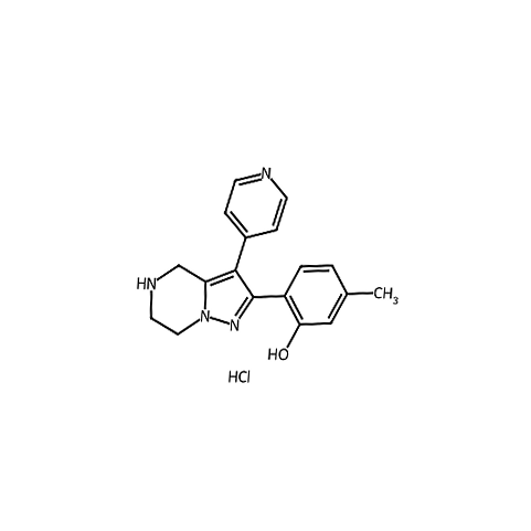 Cc1ccc(-c2nn3c(c2-c2ccncc2)CNCC3)c(O)c1.Cl